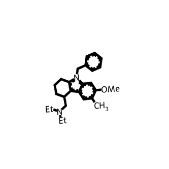 CCN(CC)CC1CCCc2c1c1cc(C)c(OC)cc1n2Cc1ccccc1